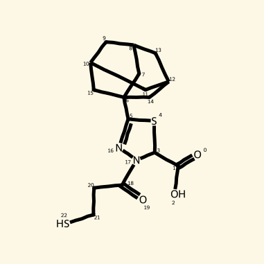 O=C(O)C1SC(C23CC4CC(CC(C4)C2)C3)=NN1C(=O)CCS